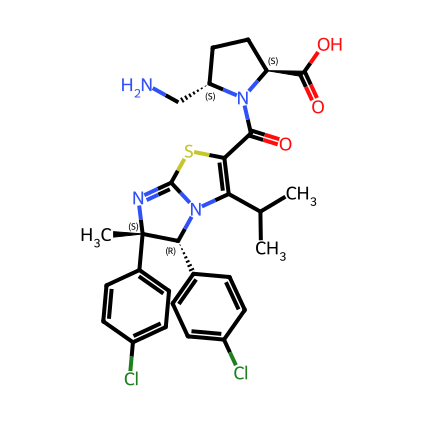 CC(C)C1=C(C(=O)N2[C@H](CN)CC[C@H]2C(=O)O)SC2=N[C@@](C)(c3ccc(Cl)cc3)[C@@H](c3ccc(Cl)cc3)N21